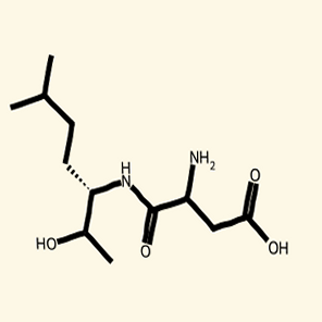 CC(C)CC[C@H](NC(=O)C(N)CC(=O)O)C(C)O